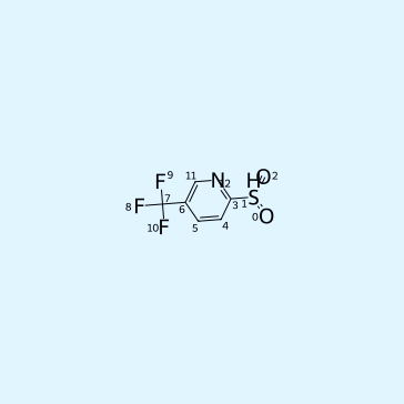 O=[SH](=O)c1ccc(C(F)(F)F)cn1